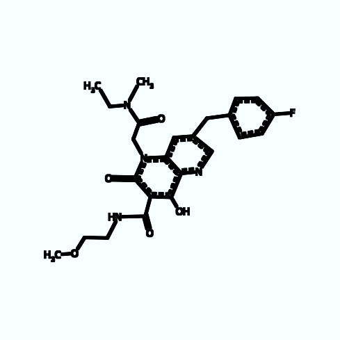 CCN(C)C(=O)Cn1c(=O)c(C(=O)NCCOC)c(O)c2ncc(Cc3ccc(F)cc3)cc21